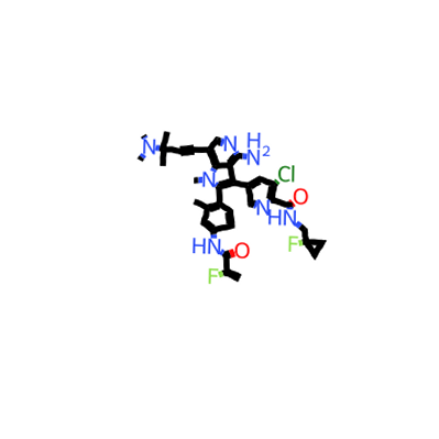 C=C(F)C(=O)Nc1ccc(-c2c(-c3cnc(C(=O)NCC4(F)CC4)c(Cl)c3)c3c(N)ncc(C#CC(C)(C)N(C)C)c3n2C)c(C)c1